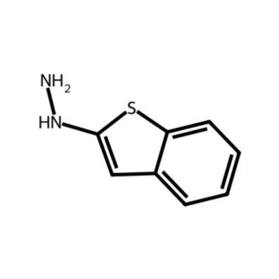 NNc1cc2ccccc2s1